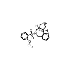 O=S(=O)(c1ccccc1OC(F)(F)F)N1Cc2cccnc2[C@@H]2CNC[C@H]2C1